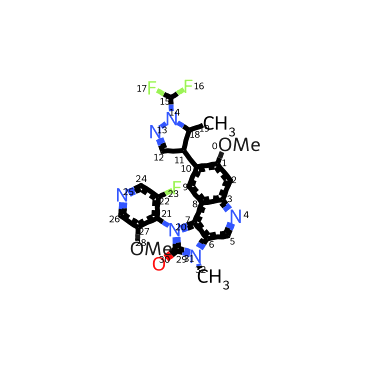 COc1cc2ncc3c(c2cc1C1C=NN(C(F)F)C1C)n(-c1c(F)cncc1OC)c(=O)n3C